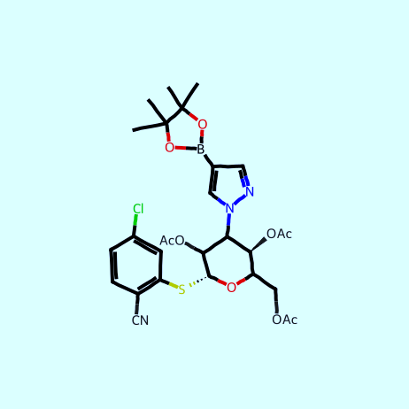 CC(=O)OCC1O[C@H](Sc2cc(Cl)ccc2C#N)C(OC(C)=O)C(n2cc(B3OC(C)(C)C(C)(C)O3)cn2)[C@H]1OC(C)=O